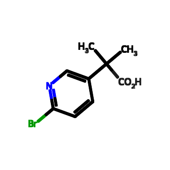 CC(C)(C(=O)O)c1ccc(Br)nc1